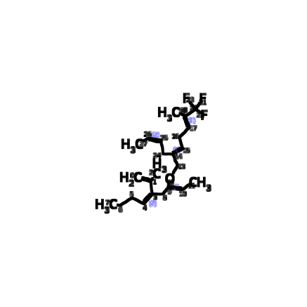 C=C(C)/C(=C\CCC)C/C(=C/C)OC/C(=C/C/C=C(\C)C(F)(F)F)C/C=C\C